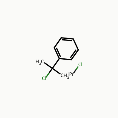 CC(C)(Cl)c1ccccc1.CC(C)Cl